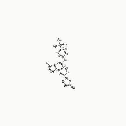 Cn1cnc(-c2cc([C@H]3CC(Br)=NO3)ccc2NCc2ccc(C(F)(F)F)cc2)c1